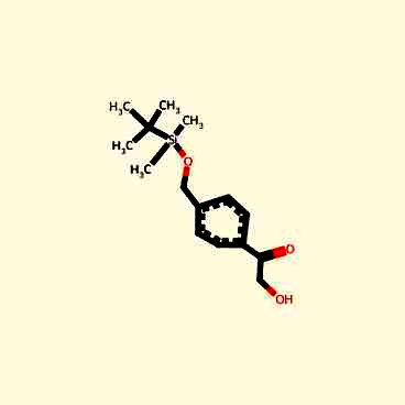 CC(C)(C)[Si](C)(C)OCc1ccc(C(=O)CO)cc1